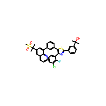 CC(C)(O)c1cccc(-c2nc(-c3cccc(Cl)c3F)c(-c3cccc(-c4cc(C(C)(C)S(C)(=O)=O)cc5cccnc45)c3)s2)c1